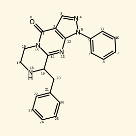 O=c1c2cnn(-c3ccccc3)c2nc2n1CCNC2Cc1ccccc1